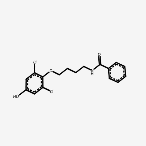 O=C(NCCCCOc1c(Cl)cc(O)cc1Cl)c1ccccc1